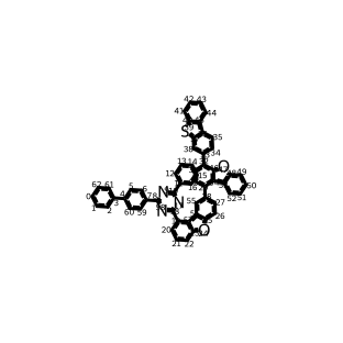 c1ccc(-c2ccc(-c3nc(-c4ccccc4)nc(-c4cccc5oc6ccc(-c7ccc(-c8ccc9c(c8)sc8ccccc89)c8oc9ccccc9c78)cc6c45)n3)cc2)cc1